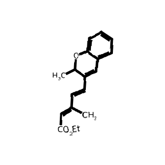 CCOC(=O)/C=C(C)/C=C/C1=Cc2ccccc2OC1C